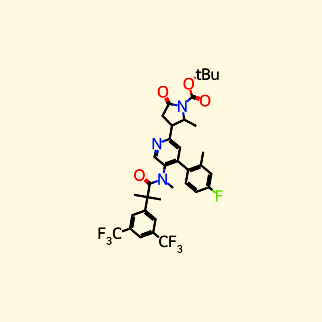 Cc1cc(F)ccc1-c1cc(C2CC(=O)N(C(=O)OC(C)(C)C)C2C)ncc1N(C)C(=O)C(C)(C)c1cc(C(F)(F)F)cc(C(F)(F)F)c1